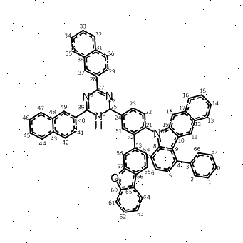 c1ccc(-c2cccc3c2c2cc4ccccc4cc2n3-c2ccc(C3N=C(c4ccc5ccccc5c4)N=C(c4ccc5ccccc5c4)N3)cc2-c2ccc3c(c2)oc2ccccc23)cc1